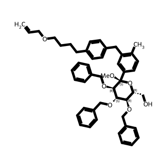 C=CCOCCCCc1ccc(Cc2cc([C@]3(OC)O[C@H](CO)[C@@H](OCc4ccccc4)[C@H](OCc4ccccc4)[C@H]3OCc3ccccc3)ccc2C)cc1